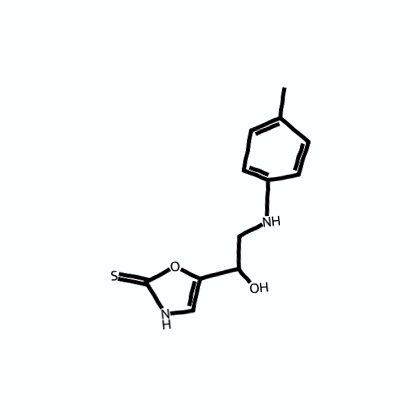 Cc1ccc(NCC(O)c2c[nH]c(=S)o2)cc1